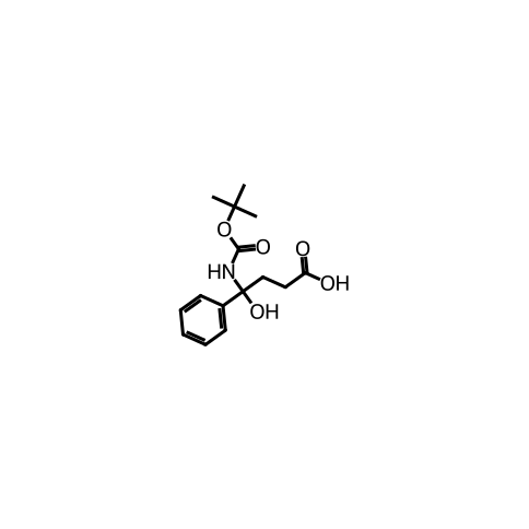 CC(C)(C)OC(=O)NC(O)(CCC(=O)O)c1ccccc1